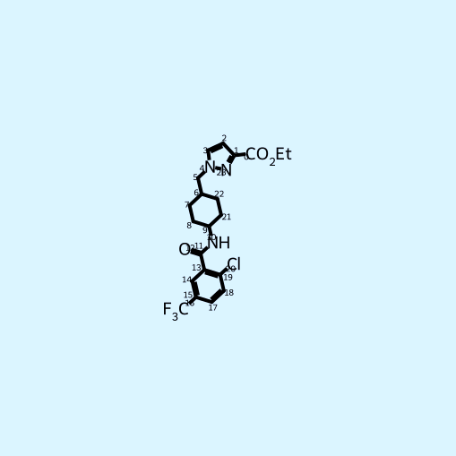 CCOC(=O)c1ccn(CC2CCC(NC(=O)c3cc(C(F)(F)F)ccc3Cl)CC2)n1